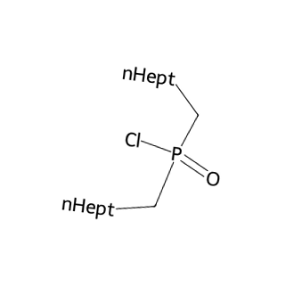 CCCCCCCCP(=O)(Cl)CCCCCCCC